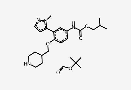 CC(C)(C)OC=O.CC(C)COC(=O)Nc1ccc(OCC2CCNCC2)c(-c2ccnn2C)c1